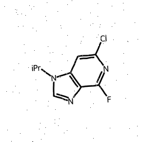 CC(C)n1cnc2c(F)nc(Cl)cc21